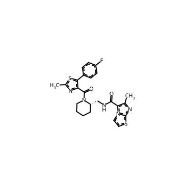 Cc1nc(C(=O)N2CCCC[C@H]2CNC(=O)c2c(C)nc3sccn23)c(-c2ccc(F)cc2)s1